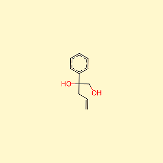 C=CCC(O)(CO)c1ccccc1